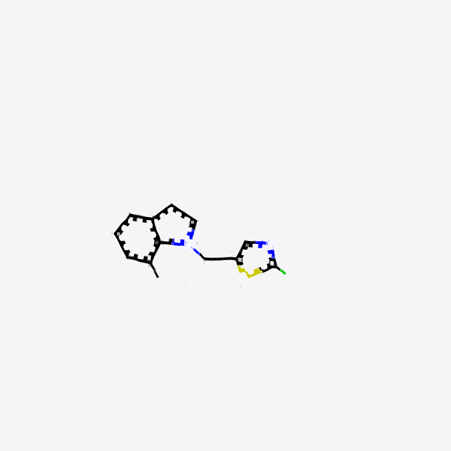 O=C(O)c1cccc2ccn(Cc3cnc(Cl)s3)c12